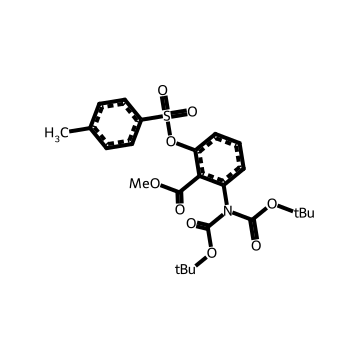 COC(=O)c1c(OS(=O)(=O)c2ccc(C)cc2)cccc1N(C(=O)OC(C)(C)C)C(=O)OC(C)(C)C